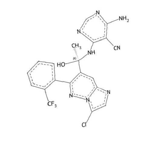 C[C@](O)(Nc1ncnc(N)c1C#N)c1cc2ncc(Cl)n2nc1-c1ccccc1C(F)(F)F